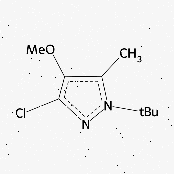 COc1c(Cl)nn(C(C)(C)C)c1C